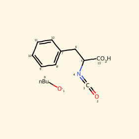 CCCC[O].O=C=NC(Cc1ccccc1)C(=O)O